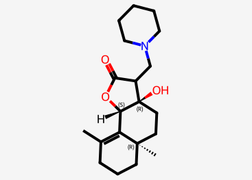 CC1=C2[C@@H]3OC(=O)C(CN4CCCCC4)[C@]3(O)CC[C@@]2(C)CCC1